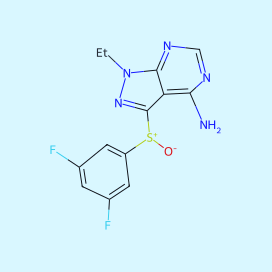 CCn1nc([S+]([O-])c2cc(F)cc(F)c2)c2c(N)ncnc21